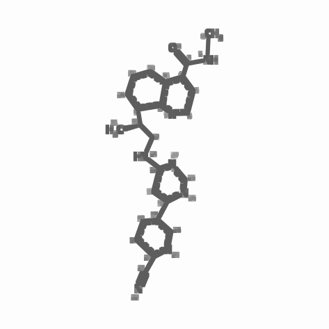 CNC(=O)c1ccnc2c([C@H](C)CNc3cc(-c4ccc(C#N)nc4)ncn3)cccc12